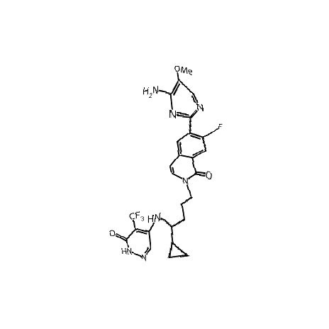 COc1cnc(-c2cc3ccn(CCCC(Nc4cn[nH]c(=O)c4C(F)(F)F)C4CC4)c(=O)c3cc2F)nc1N